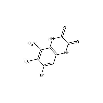 O=c1[nH]c2cc(Br)c(C(F)(F)F)c([N+](=O)[O-])c2[nH]c1=O